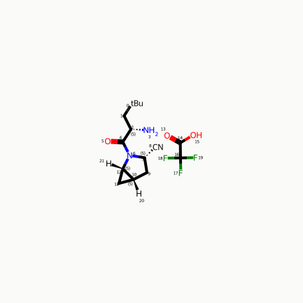 CC(C)(C)C[C@H](N)C(=O)N1[C@H](C#N)C[C@@H]2C[C@@H]21.O=C(O)C(F)(F)F